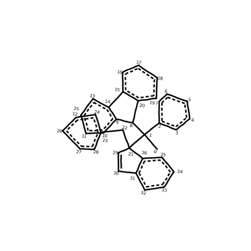 CC(c1ccccc1)(C1c2ccccc2-c2ccccc21)C1(Cc2ccccc2)C=Cc2ccccc21